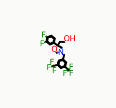 OCCC1(c2ccc(F)c(F)c2)CN(Cc2cc(C(F)(F)F)cc(C(F)(F)F)c2)CO1